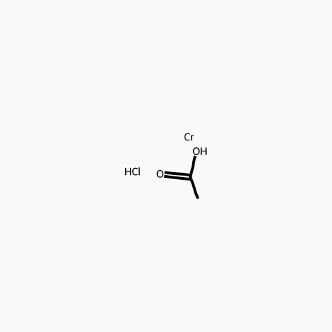 CC(=O)O.Cl.[Cr]